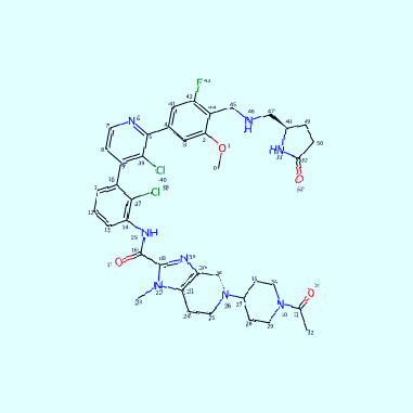 COc1cc(-c2nccc(-c3cccc(NC(=O)c4nc5c(n4C)CCN(C4CCN(C(C)=O)CC4)C5)c3Cl)c2Cl)cc(F)c1CNC[C@H]1CCC(=O)N1